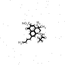 CC1(C)COc2cc(CCCN)cc3c2C1C=C(C(=O)O)C3=O.O=C(O)C(F)(F)F